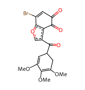 COC1=CC(C(=O)c2coc3c2C(=O)C(=O)C=C3Br)CC(OC)=C1OC